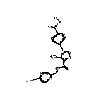 CCNC(=O)c1ccc(-n2nnc(C(=O)NCc3cnc(C)cn3)c2C)cc1